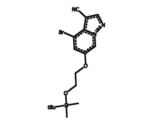 CC(C)(C)[Si](C)(C)OCCOc1cc(Br)c2c(C#N)cnn2c1